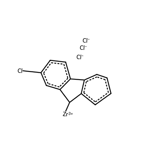 Clc1ccc2c(c1)[CH]([Zr+3])c1ccccc1-2.[Cl-].[Cl-].[Cl-]